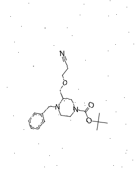 CC(C)(C)OC(=O)N1CCN(Cc2ccccc2)C(COCCC#N)C1